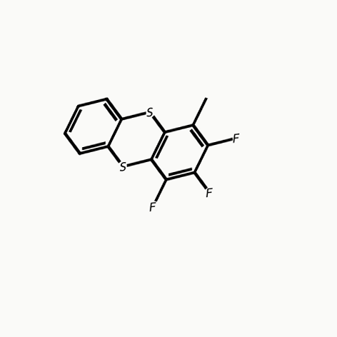 Cc1c(F)c(F)c(F)c2c1Sc1ccccc1S2